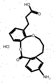 Cl.Nc1ccc2c(c1)CCCOc1c(CCC(=O)O)cccc1OC2=O